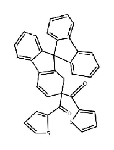 O=C(c1cccs1)C1(C(=O)c2cccs2)C=CC2=C(C1)C1(c3ccccc32)c2ccccc2-c2ccccc21